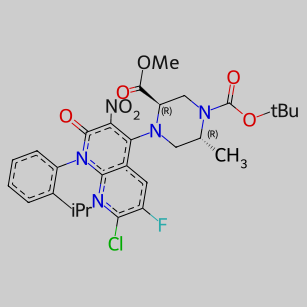 COC(=O)[C@H]1CN(C(=O)OC(C)(C)C)[C@H](C)CN1c1c([N+](=O)[O-])c(=O)n(-c2ccccc2C(C)C)c2nc(Cl)c(F)cc12